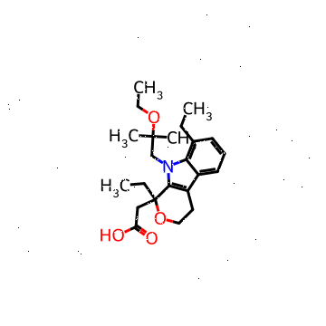 CCOC(C)(C)Cn1c2c(c3cccc(CC)c31)CCOC2(CC)CC(=O)O